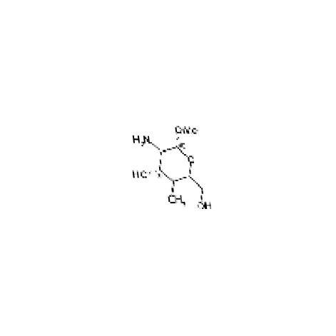 CO[C@@H]1OC(CO)C(C)[C@H](O)C1N